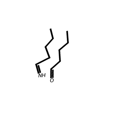 CCCCC=N.CCCCC=O